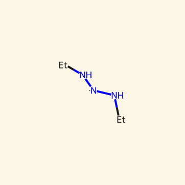 CCN[N]NCC